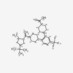 C=C(C1CN(C(C)(C)C)CC1C)N1CCC(c2ccc(C(F)(F)F)cc2N2CCC(C(=O)O)CC2)CC1